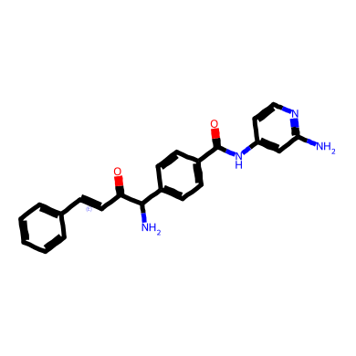 Nc1cc(NC(=O)c2ccc(C(N)C(=O)/C=C/c3ccccc3)cc2)ccn1